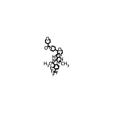 Cc1nc(N[C@H](C)c2cccc(C(F)(F)F)c2F)c2cc3n(c2n1)CCOC3C1CCN(C(=O)C2CCOCC2)CC1